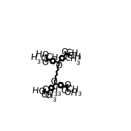 CC(C)(O)C(=O)c1ccc(C(OCCCCCCOC(c2ccc(C(=O)C(C)(C)O)cc2)c2ccc(C(=O)C(C)(C)O)cc2)c2ccc(C(=O)C(C)(C)O)cc2)cc1